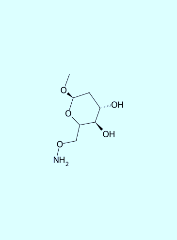 CO[C@H]1C[C@H](O)[C@@H](O)C(CON)O1